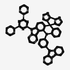 c1ccc(-c2nc(-c3ccccc3)nc(-n3c4ccccc4c4c5c(ccc43)C3(c4ccccc4N5c4cccc(-n5c6ccccc6c6ccccc65)c4)c4ccoc4-c4occc43)n2)cc1